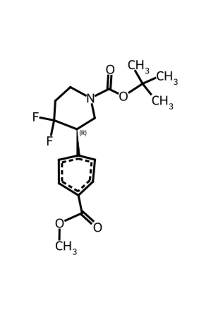 COC(=O)c1ccc([C@@H]2CN(C(=O)OC(C)(C)C)CCC2(F)F)cc1